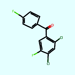 O=C(c1ccc(F)cc1)c1cc(F)c(Cl)cc1Cl